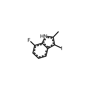 Cc1[nH]c2c(F)cccc2c1I